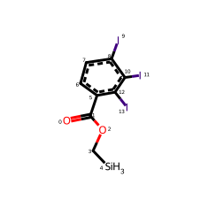 O=C(OC[SiH3])c1ccc(I)c(I)c1I